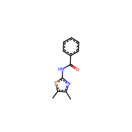 Cc1nc(NC(=O)c2c[c]ccc2)sc1C